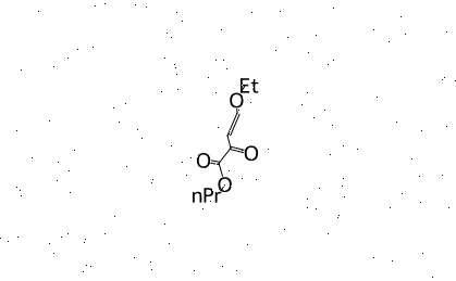 CCCOC(=O)C(=O)/C=C/OCC